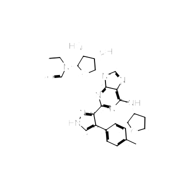 CCN(C=O)[C@H]1O[C@@H](n2cnc3c(N[C@@H]4CCOC4)nc(-c4n[nH]cc4-c4ccc(C)cc4)nc32)[C@@H](O)[C@H]1O